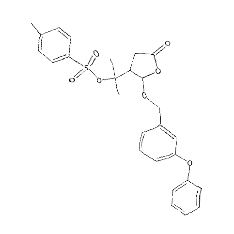 Cc1ccc(S(=O)(=O)OC(C)(C)C2CC(=O)OC2OCc2cccc(Oc3ccccc3)c2)cc1